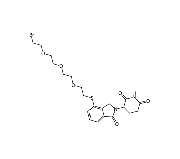 O=C1CCC(N2Cc3c(SCCOCCOCCOCCBr)cccc3C2=O)C(=O)N1